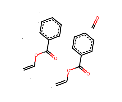 C=COC(=O)c1ccccc1.C=COC(=O)c1ccccc1.C=O